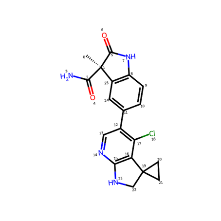 C[C@]1(C(N)=O)C(=O)Nc2ccc(-c3cnc4c(c3Cl)C3(CC3)CN4)cc21